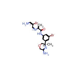 C=C(/N=C\C(Br)=C/N)C(=O)Nc1cc(Br)cc([C@]2(C)COCC(N)=N2)c1